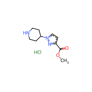 COC(=O)c1ccn(C2CCNCC2)n1.Cl